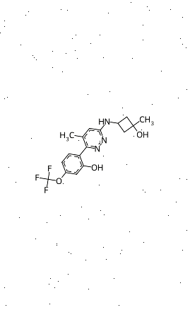 Cc1cc(NC2CC(C)(O)C2)nnc1-c1ccc(OC(F)(F)F)cc1O